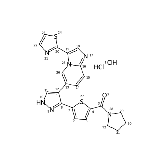 Cl.Cl.O=C(c1ccc(-c2n[nH]cc2-c2ccc3ncc(-c4nccs4)n3c2)s1)N1CCCC1